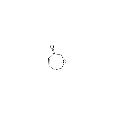 O=C1C=CCCOC1